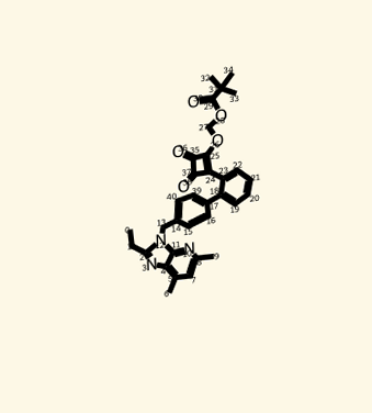 CCc1nc2c(C)cc(C)nc2n1Cc1ccc(-c2ccccc2-c2c(OCOC(=O)C(C)(C)C)c(=O)c2=O)cc1